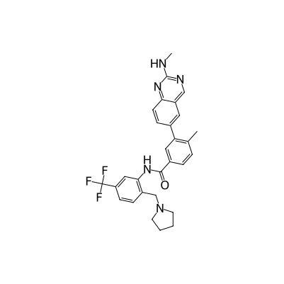 CNc1ncc2cc(-c3cc(C(=O)Nc4cc(C(F)(F)F)ccc4CN4CCCC4)ccc3C)ccc2n1